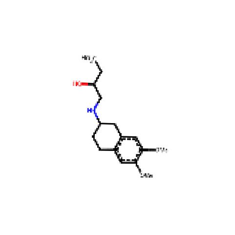 COc1cc2c(cc1OC)CC(NCC(O)CC(=O)O)CC2